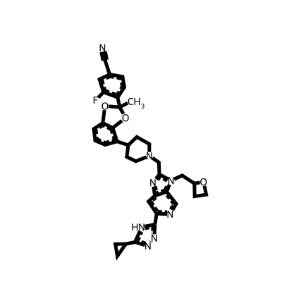 CC1(c2ccc(C#N)cc2F)Oc2cccc(C3CCN(Cc4nc5cc(-c6nnc(C7CC7)[nH]6)ncc5n4CC4CCO4)CC3)c2O1